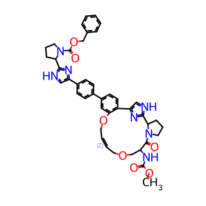 COC(=O)NC1COC/C=C\COc2cc(-c3ccc(-c4c[nH]c(C5CCCN5C(=O)OCc5ccccc5)n4)cc3)ccc2-c2c[nH]c(n2)C2CCCN2C1=O